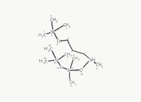 C[SiH](CCCO[Si](C)(C)C)O[Si](C)(C)O[Si](C)(C)C